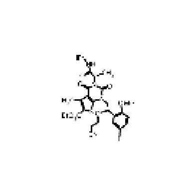 CCOC(=O)c1sc2c(c1C)c(=O)n([C@H](C)C(=O)NC(C)C)c(=O)n2C[C@H](OCCC#N)c1cc(F)ccc1OC